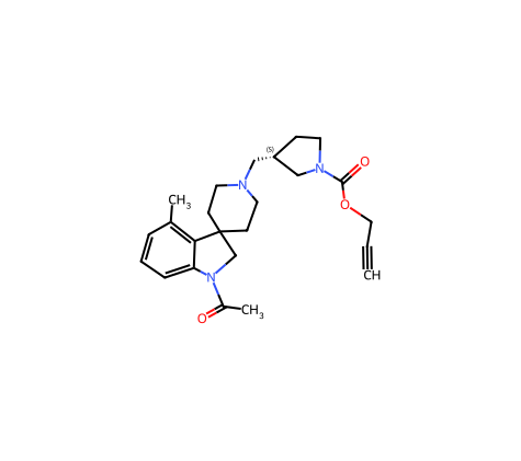 C#CCOC(=O)N1CC[C@@H](CN2CCC3(CC2)CN(C(C)=O)c2cccc(C)c23)C1